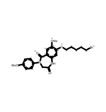 COc1ccc(N2CC(=O)Nc3cc(OCCCCCBr)c(OC)cc3C2=O)cc1